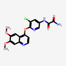 COc1cc2nccc(Oc3ncc(NC(=O)C(N)=O)cc3Cl)c2cc1OC